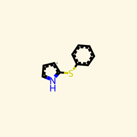 [c]1cc[nH]c1Sc1ccccc1